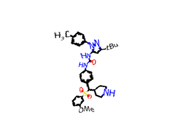 COc1cccc(S(=O)(=O)C(c2ccc(NC(=O)Nc3cc(C(C)(C)C)nn3-c3ccc(C)cc3)cc2)C2CCNCC2)c1